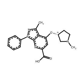 Cc1nn(-c2ccccc2)c2nc(C(=O)O)cc(O[C@@H]3CCN(C)C3)c12